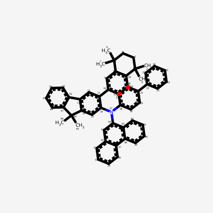 CC1(C)CCC(C)(C)c2cc(-c3cc4c(cc3N(c3ccc(-c5ccccc5)cc3)c3cc5ccccc5c5ccccc35)C(C)(C)c3ccccc3-4)ccc21